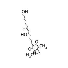 Cn1cnc2c1c(=O)n(CCCCC(O)CNCCCCCCO)c(=O)n2C